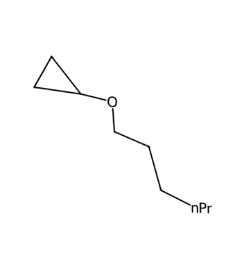 [CH2]CCCCCOC1CC1